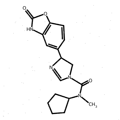 CN(C(=O)N1C=NC(c2ccc3oc(=O)[nH]c3c2)C1)C1CCCC1